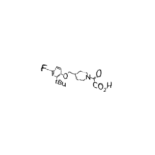 CC(C)(C)c1cc(F)ccc1OCC1CCN(C(=O)C(=O)O)CC1